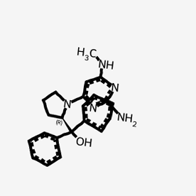 CNc1cc(N2CCC[C@@H]2C(O)(c2ccccc2)c2ccccc2)nc(N)n1